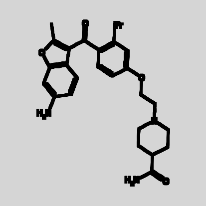 Cc1oc2cc(N)ccc2c1C(=O)c1ccc(OCCN2CCC(C(N)=O)CC2)cc1C(C)C